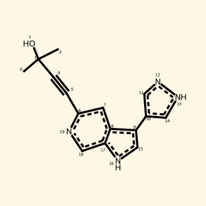 CC(C)(O)C#Cc1cc2c(-c3cn[nH]c3)c[nH]c2cn1